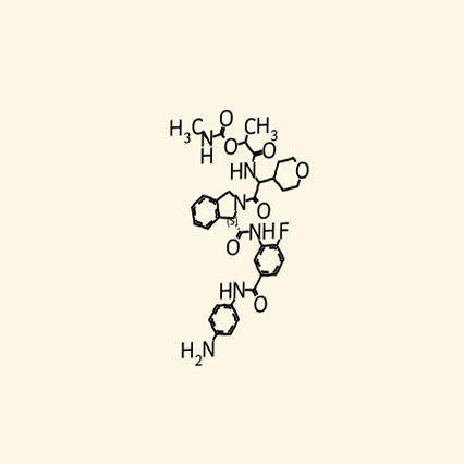 CNC(=O)OC(C)C(=O)NC(C(=O)N1Cc2ccccc2[C@H]1C(=O)Nc1cc(C(=O)Nc2ccc(N)cc2)ccc1F)C1CCOCC1